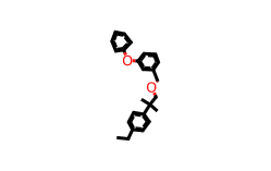 CCc1ccc(C(C)(C)COCc2cccc(Oc3ccccc3)c2)cc1